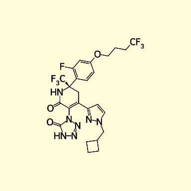 O=C1N[C@@](c2ccc(OCCCC(F)(F)F)cc2F)(C(F)(F)F)CC(c2ccn(CC3CCC3)n2)=C1n1nn[nH]c1=O